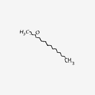 CC[CH]C(=O)CCCCCCCCCCCCC